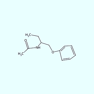 CCC(COc1ccccc1)NC(C)=O